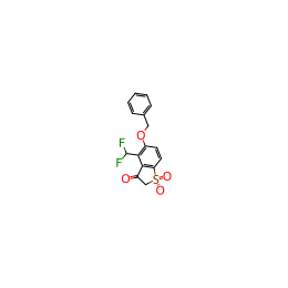 O=C1CS(=O)(=O)c2ccc(OCc3ccccc3)c(C(F)F)c21